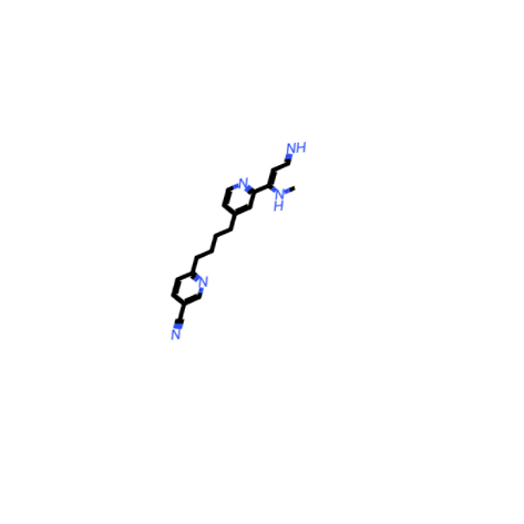 CN/C(=C\C=N)c1cc(CCCCc2ccc(C#N)cn2)ccn1